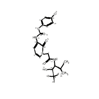 CC(C)C(NC(=O)Cn1cccc(NC(=O)Oc2ccc(Cl)cc2)c1=O)C(O)C(F)(F)F